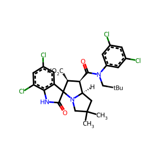 CC(C)(C)CN(C(=O)[C@H]1[C@H]2CC(C)(C)CN2C2(C(=O)Nc3c(Cl)cc(Cl)cc32)[C@H]1C(=O)O)c1cc(Cl)cc(Cl)c1